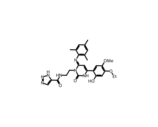 CCOc1cc(O)c(-c2c/c(=N\c3c(C)cc(C)cc3C)n(CCNC(=O)c3cnn[nH]3)c(=O)[nH]2)cc1OC